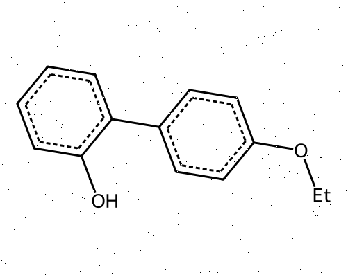 CCOc1ccc(-c2ccccc2O)cc1